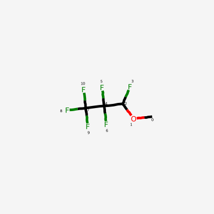 CO[C](F)C(F)(F)C(F)(F)F